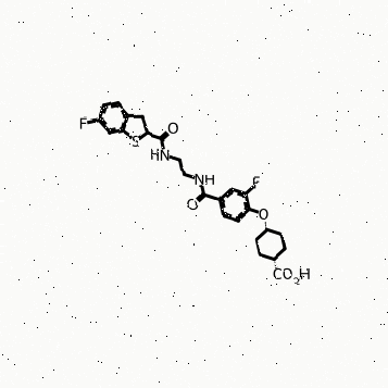 O=C(NCCNC(=O)C1Cc2ccc(F)cc2S1)c1ccc(O[C@H]2CC[C@@H](C(=O)O)CC2)c(F)c1